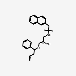 C=CCC(OC[C@H](O)CNC(C)(C)Cc1ccc2ccccc2c1)c1ccccc1